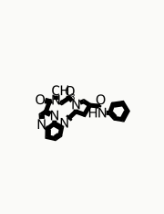 CN(CC(=O)N1CC(C(=O)Nc2ccccc2)CC1C#N)C(=O)c1cnc2ccccc2n1